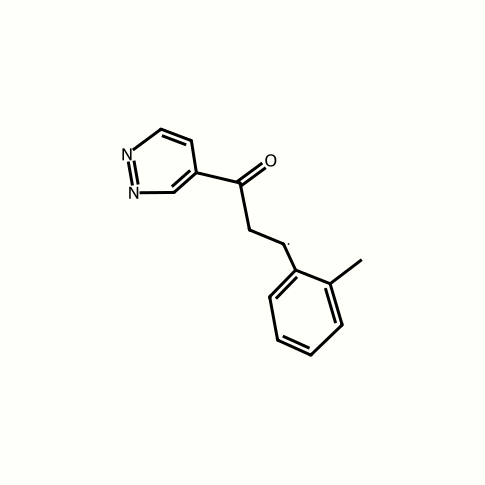 Cc1ccccc1[CH]CC(=O)c1ccnnc1